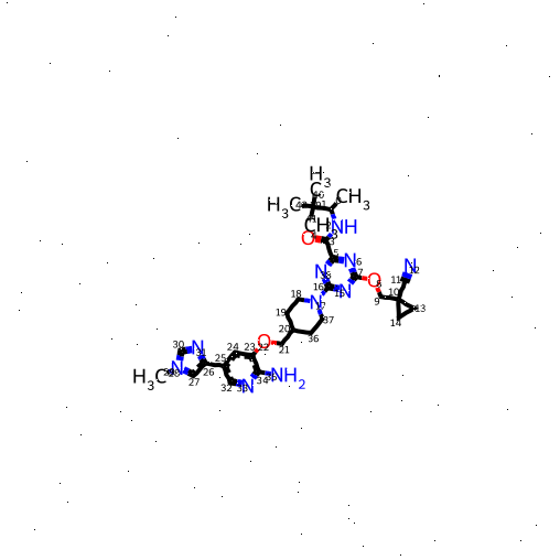 CC(NC(=O)c1nc(OCC2(C#N)CC2)nc(N2CCC(COc3cc(-c4cn(C)cn4)cnc3N)CC2)n1)C(C)(C)C